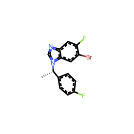 C[C@@H](c1ccc(F)cc1)n1cnc2cc(F)c(Br)cc21